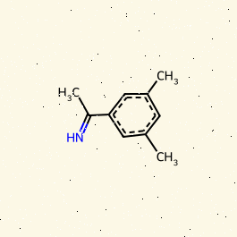 CC(=N)c1cc(C)cc(C)c1